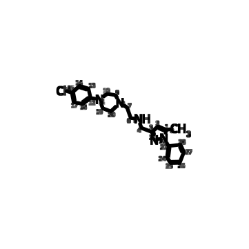 Cc1cc(CNCCN2CCN(c3ccc(Cl)cc3)CC2)nn1-c1ccccc1